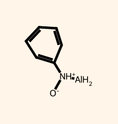 [O-][NH+]([AlH2])c1ccccc1